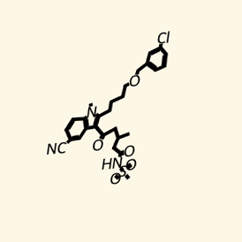 CC(CC(=O)NS(C)(=O)=O)CC(=O)c1c(CCCCOCc2cccc(Cl)c2)n(C)c2ccc(C#N)cc12